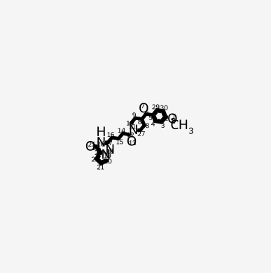 COc1ccc(C(=O)C2CCN(C(=O)CCCc3nn4cccc4c(=O)[nH]3)CC2)cc1